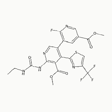 CCNC(=O)Nc1ncc(-c2cc(C(=O)OC)cnc2F)c(-c2nc(C(F)(F)F)cs2)c1C(=O)OC